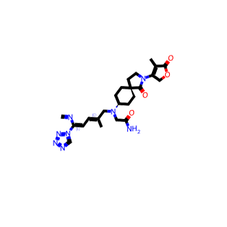 C=N/C(=C\C=C(/C)CN(CC(N)=O)[C@H]1CC[C@]2(CCN(C3=C(C)C(=O)OC3)C2=O)CC1)n1cnnn1